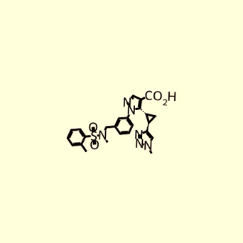 Cc1ccccc1S(=O)(=O)N(C)Cc1cccc(-n2ncc(C(=O)O)c2[C@@H]2C[C@H]2c2cn(C)nn2)c1